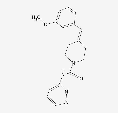 COc1cccc(C=C2CCN(C(=O)Nc3cccnn3)CC2)c1